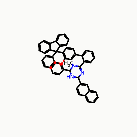 CN1C(c2ccccc2-c2ccc3c(c2)Oc2ccccc2C32c3ccccc3-c3ccccc32)=NC(c2ccc3ccccc3c2)NC1c1ccccc1